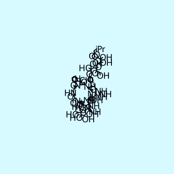 CC(C)CC1OCC2OC(OC3C(CO)OC(Oc4ccc(CC5NC(=O)C(C(C)c6ccccc6)NC(=O)CNC(=O)C(CO)NC(=O)C(C(O)C6CNC(=N)N6C6OC(CO)C(O)C(O)C6O)NC(=O)C(C(O)C6CNC(=N)N6)NC5=O)cc4)C(O)C3O)C(O)C(O)C2O1